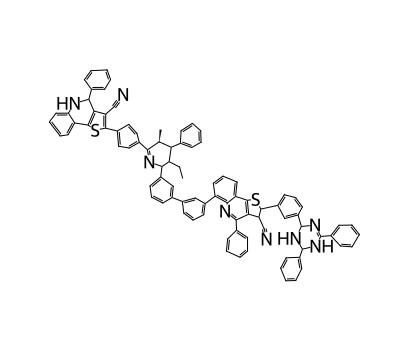 CCC1C(c2cccc(-c3cccc(-c4cccc5c6c(c(-c7ccccc7)nc45)C(C#N)C(c4cccc(C5N=C(c7ccccc7)NC(c7ccccc7)N5)c4)S6)c3)c2)N=C(c2ccc(-c3sc4c(c3C#N)C(c3ccccc3)Nc3ccccc3-4)cc2)[C@@H](C)C1c1ccccc1